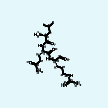 CC(C)C[C@H](N)C(=O)N[C@@H](CCC(N)=O)C(=O)N[C@H]([C]=O)CCCNC(=N)N